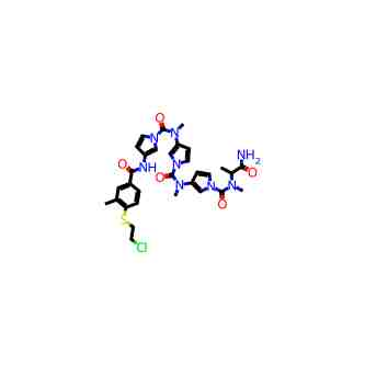 Cc1cc(C(=O)Nc2ccn(C(=O)N(C)c3ccn(C(=O)N(C)c4ccn(C(=O)N(C)C(C)C(N)=O)c4)c3)c2)ccc1SCCCl